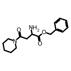 NC(CC(=O)N1CCCCC1)C(=O)OCc1ccccc1